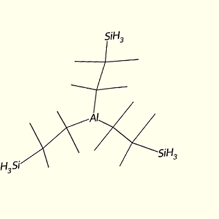 CC(C)([SiH3])[C](C)(C)[Al]([C](C)(C)C(C)(C)[SiH3])[C](C)(C)C(C)(C)[SiH3]